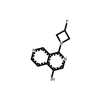 CC(C)c1cnc(N2CC(F)C2)c2cnccc12